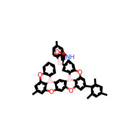 Cc1cc(C)c(-c2cc3c4c(c2)Oc2cc5c(cc2B4c2cc4c(cc2O3)Nc2cc(C)cc3c2B4c2ccccc2O3)B2c3ccccc3Oc3cc(C)cc(c32)O5)c(C)c1